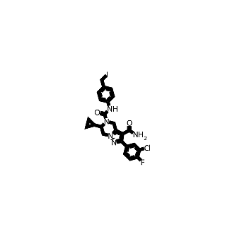 NC(=O)c1c(-c2ccc(F)c(Cl)c2)nn2c1CN(C(=O)Nc1ccc(CI)cc1)C(C1CC1)C2